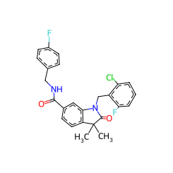 CC1(C)C(=O)N(Cc2c(F)cccc2Cl)c2cc(C(=O)NCc3ccc(F)cc3)ccc21